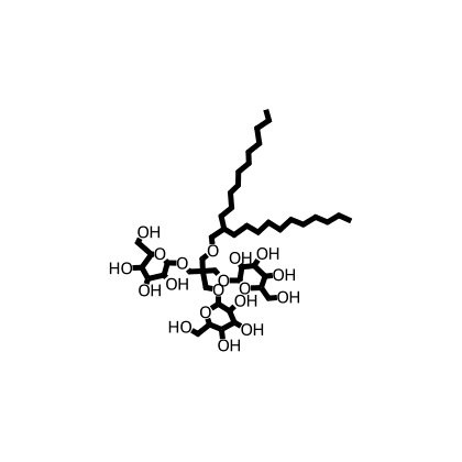 CCCCCCCCCCCC(CCCCCCCCCCC)COCC(COC1OC(CO)C(O)C(O)C1O)(COC1OC(CO)C(O)C(O)C1O)COC1OC(CO)C(O)C(O)C1O